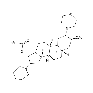 CCCC(=O)O[C@H]1[C@@H](N2CCCCC2)C[C@H]2[C@@H]3CC[C@H]4C[C@H](OC(C)=O)[C@@H](N5CCOCC5)C[C@]4(C)[C@H]3CC[C@@]21C